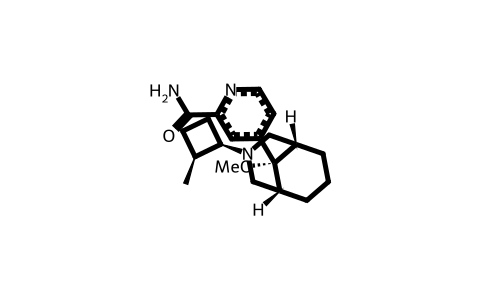 CO[C@@]1(c2ccnc(C(N)=O)c2)[C@@H]2CCC[C@H]1CN([C@@H]1CC[C@@H]1C)C2